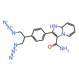 [N-]=[N+]=NCC(CN=[N+]=[N-])c1ccc(C2=C(C(N)=O)N3C=CC=CC3N2)cc1